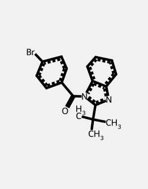 CC(C)(C)c1nc2ccccc2n1C(=O)c1ccc(Br)cc1